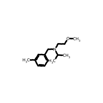 COCCN(Cc1cccc(C)c1)C(C)C